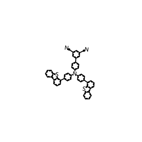 N#Cc1cc(C#N)cc(-c2ccc(N(c3ccc(-c4cccc5c4sc4ccccc45)cc3)c3ccc(-c4cccc5c4sc4ccccc45)cc3)cc2)c1